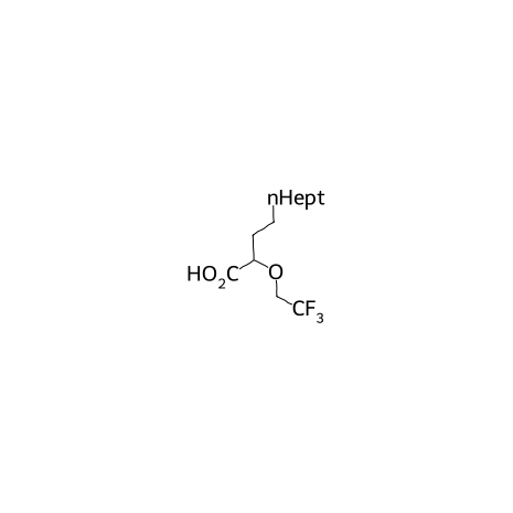 CCCCCCCCCC(OCC(F)(F)F)C(=O)O